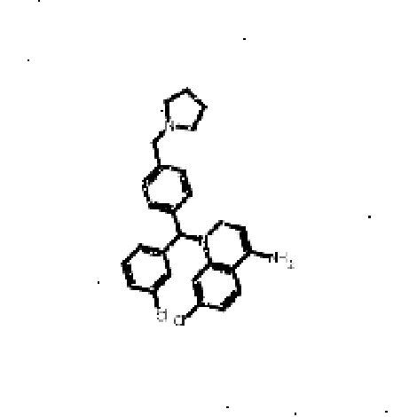 NC1=CCN(C(c2ccc(CN3CCCC3)cc2)c2cccc(Cl)c2)c2cc(Cl)ccc21